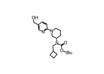 CC(C)(C)OC(=O)N(CC1CCC1)[C@@H]1CCCN(c2ccc(CO)cn2)C1